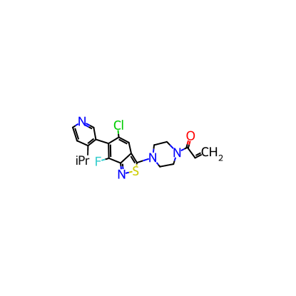 C=CC(=O)N1CCN(c2snc3c(F)c(-c4cnccc4C(C)C)c(Cl)cc23)CC1